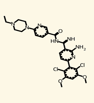 CCN1CCN(c2ccc(C(=O)NC(=N)c3ccc(-c4c(Cl)c(OC)cc(OC)c4Cl)nc3N)cn2)CC1